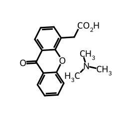 CN(C)C.O=C(O)Cc1cccc2c(=O)c3ccccc3oc12